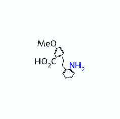 COc1ccc(CCc2ccccc2N)c(C(=O)O)c1